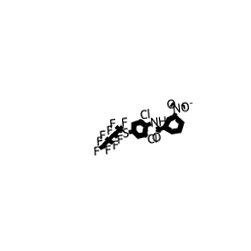 O=C(Nc1c(Cl)cc(SC(F)(F)C(F)(F)C(F)(F)C(F)(F)F)cc1Cl)c1cccc([N+](=O)[O-])c1